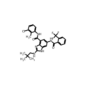 Cc1c(Cl)cccc1NC(=O)c1cc(NC(=O)c2ccccc2C(F)(F)F)cc2[nH]c(NCC(C)(C)C)nc12